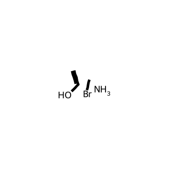 C=CO.CBr.N